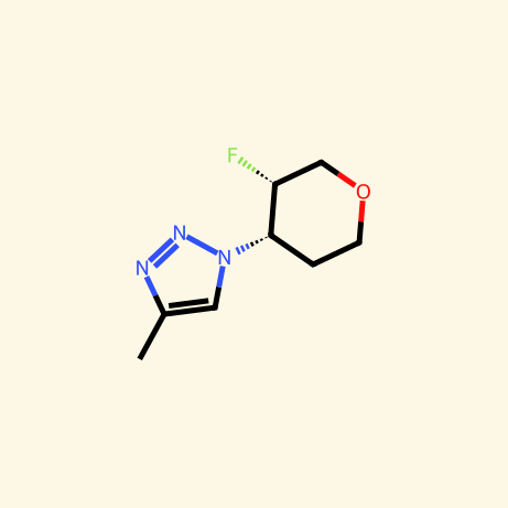 Cc1cn([C@H]2CCOC[C@H]2F)nn1